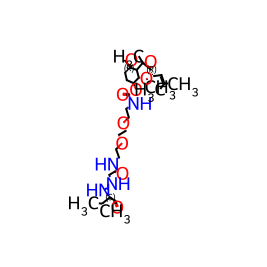 COC1C(OC(=O)NCCOCCOCCNC(=O)CNN[C@H](C=O)C(C)C)CC[C@]2(CO2)C1C1(C)O[C@@H]1CC=C(C)C